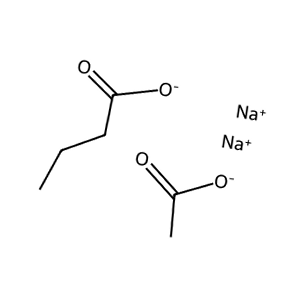 CC(=O)[O-].CCCC(=O)[O-].[Na+].[Na+]